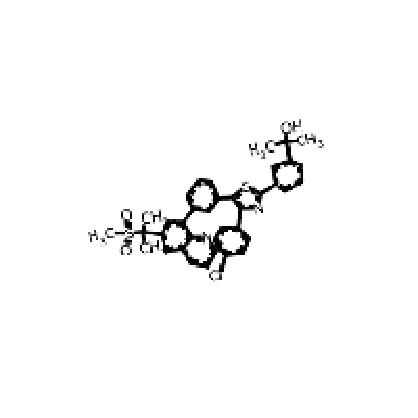 CC(C)(O)c1cccc(-c2nc(-c3ccc(Cl)cc3)c(-c3cccc(-c4cc(C(C)(C)S(C)(=O)=O)cc5cccnc45)c3)s2)c1